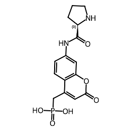 O=C(Nc1ccc2c(CP(=O)(O)O)cc(=O)oc2c1)[C@H]1CCCN1